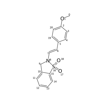 COc1ccc(C=CN2Cc3ccccc3S2(=O)=O)cc1